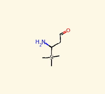 C[Si](C)(C)C(N)CC=O